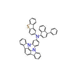 c1ccc(-c2ccc(N(c3ccc4sc5ccccc5c4c3)c3ccc4c(c3)n3c5ccccc5c5ccc6c7ccccc7n4c6c53)c3ccccc23)cc1